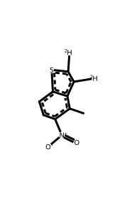 [2H]c1sc2ccc([N+](=O)[O-])c(C)c2c1[2H]